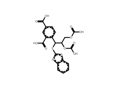 O=C(O)OCC(OC(=O)O)C(Sc1nc2ccccc2s1)c1ccc(C(=O)O)cc1C(=O)O